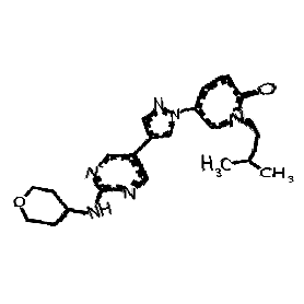 CC(C)Cn1cc(-n2cc(-c3cnc(NC4CCOCC4)nc3)cn2)ccc1=O